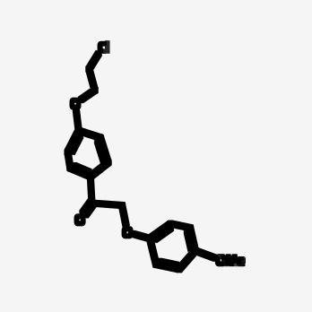 COc1ccc(OCC(=O)c2ccc(OCCCl)cc2)cc1